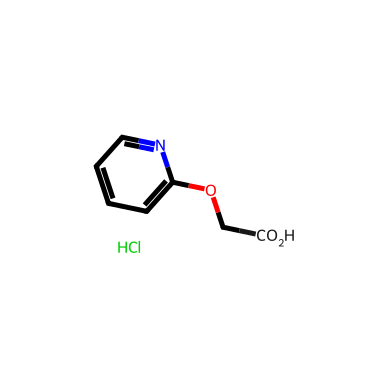 Cl.O=C(O)COc1ccccn1